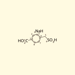 O=C(O)c1ccc(CS(=O)(=O)O)cc1.[NaH]